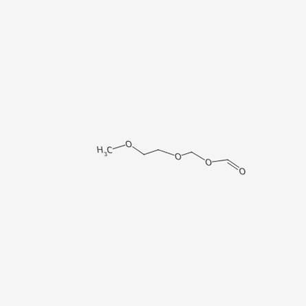 COCCOCOC=O